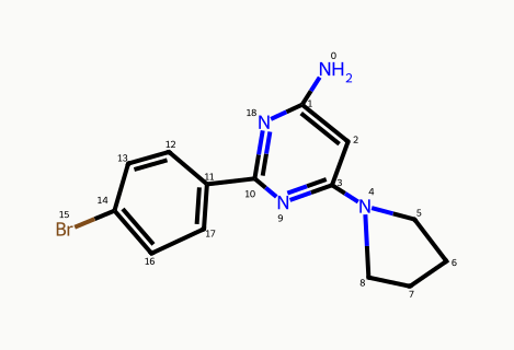 Nc1cc(N2CCCC2)nc(-c2ccc(Br)cc2)n1